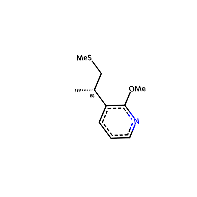 COc1ncccc1[C@H](C)CSC